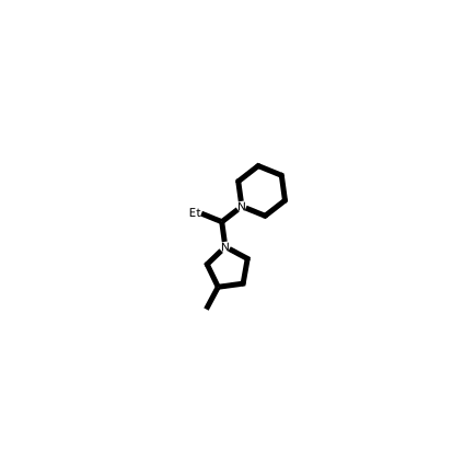 CCC(N1CCCCC1)N1CCC(C)C1